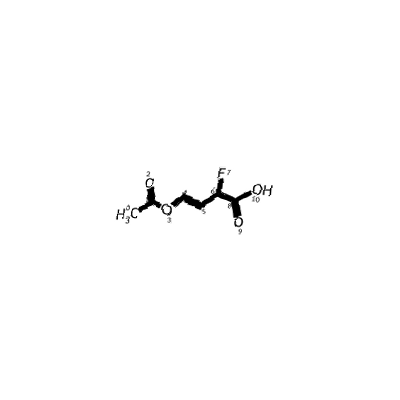 CC(=O)OC=CC(F)C(=O)O